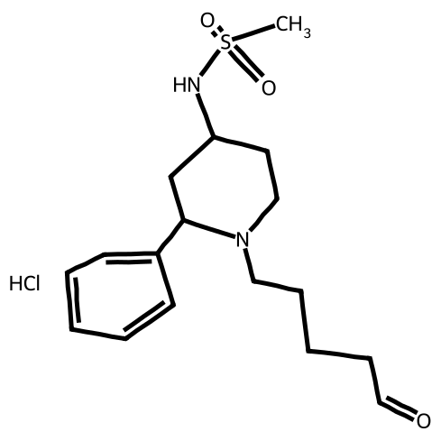 CS(=O)(=O)NC1CCN(CCCCC=O)C(c2ccccc2)C1.Cl